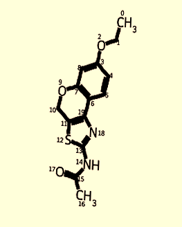 CCOc1ccc2c(c1)OCc1sc(NC(C)=O)nc1-2